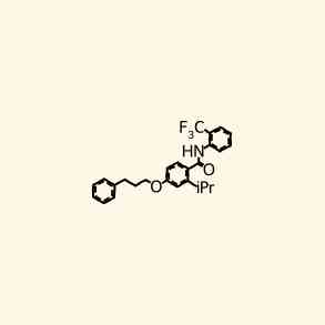 CC(C)c1cc(OCCCc2ccccc2)ccc1C(=O)Nc1ccccc1C(F)(F)F